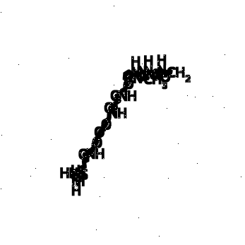 C=CC(=O)Nc1cccc(Nc2nc(Nc3cccc(OCCCNC(=O)CCCC(=O)NCCCOCCOCCOCCCNC(=O)CCCC[C@H]4SC[C@H]5NCN[C@H]54)c3)ncc2C)c1